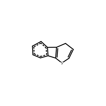 C1=CSC2=C(C1)c1ccccc12